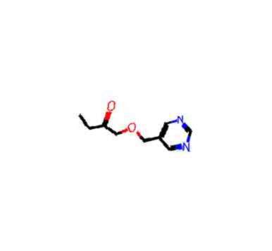 CCC(=O)COCc1cncnc1